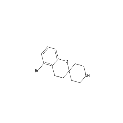 Brc1cccc2c1CCC1(CCNCC1)O2